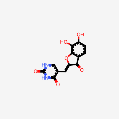 O=C1C(=Cc2c[nH]c(=O)[nH]c2=O)Oc2c1ccc(O)c2O